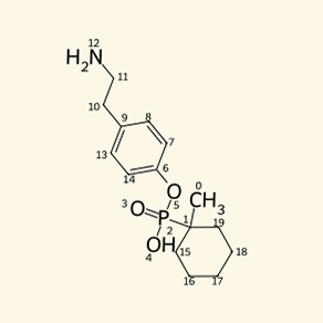 CC1(P(=O)(O)Oc2ccc(CCN)cc2)CCCCC1